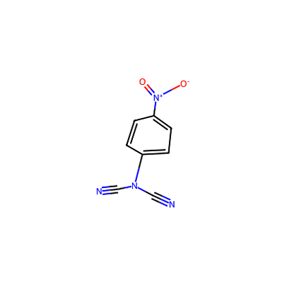 N#CN(C#N)c1ccc([N+](=O)[O-])cc1